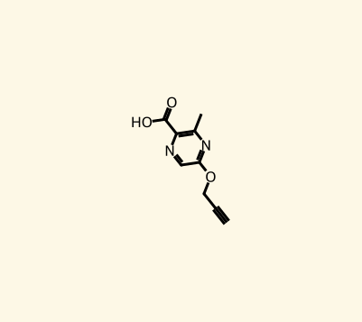 C#CCOc1cnc(C(=O)O)c(C)n1